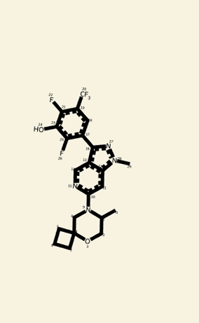 CC1COC2(CCC2)CN1c1cc2c(cn1)c(-c1cc(C(F)(F)F)c(F)c(O)c1F)nn2C